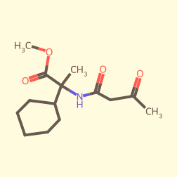 COC(=O)C(C)(NC(=O)CC(C)=O)C1CCCCC1